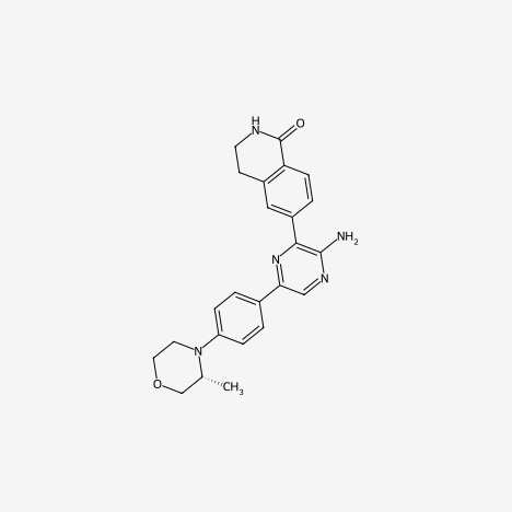 C[C@@H]1COCCN1c1ccc(-c2cnc(N)c(-c3ccc4c(c3)CCNC4=O)n2)cc1